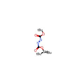 CC(C)(C)OC(=O)N=NC(=O)O[SiH](C(C)(C)C)C(C)(C)C